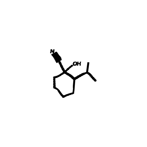 CC(C)C1CCCCC1(O)C#N